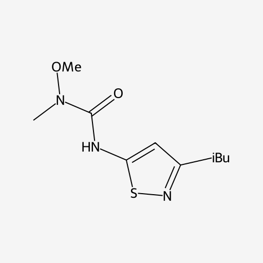 CCC(C)c1cc(NC(=O)N(C)OC)sn1